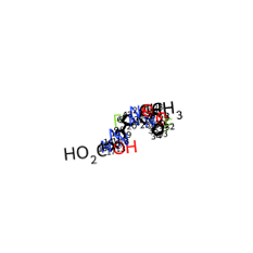 Cc1nc2cc(F)c(-c3cnc(C4(O)CN(C(=O)O)C4)nc3)cn2c1CN1C(=O)[C@@H](C)Oc2c(F)cccc21